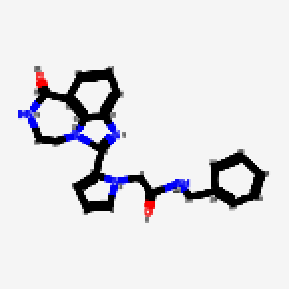 O=C(Cn1cccc1-c1nc2cccc3c2n1CCNC3=O)NCc1ccccc1